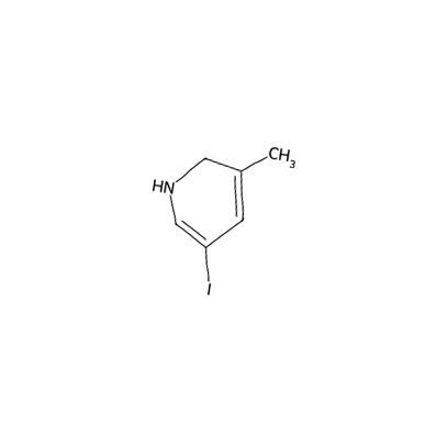 CC1=CC(I)=CNC1